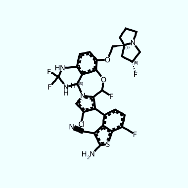 N#Cc1c(N)sc2c(F)ccc(-c3c(Cl)cn4c3C(F)Oc3c(OC[C@@]56CCCN5C[C@H](F)C6)ccc5c3[C@H]4NC(F)(F)N5)c12